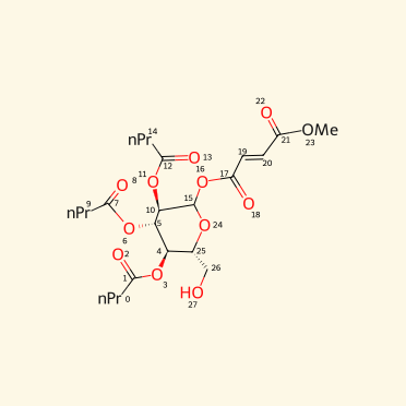 CCCC(=O)O[C@H]1[C@H](OC(=O)CCC)[C@@H](OC(=O)CCC)C(OC(=O)/C=C/C(=O)OC)O[C@@H]1CO